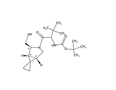 CC(C)(C)OC(=O)NC(C(=O)N1C[C@H]2[C@@H]([C@H]1CO)C21CC1)C(C)(C)C